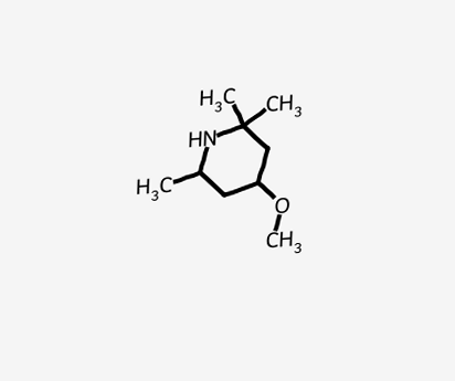 COC1CC(C)NC(C)(C)C1